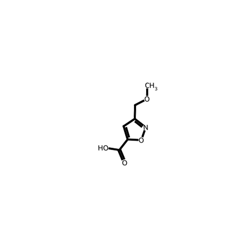 COCc1cc(C(=O)O)on1